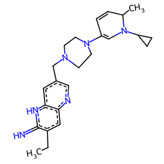 CCc1cc2ncc(CN3CCN(C4=CN(C5CC5)C(C)C=C4)CC3)cc2[nH]c1=N